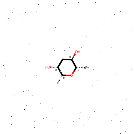 CC(C)[C@@H]1O[C@H](C)[C@H](O)C[C@H]1O